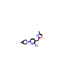 CCc1nc(N2CC3CC3C2)ccc1Cc1nc(C)co1